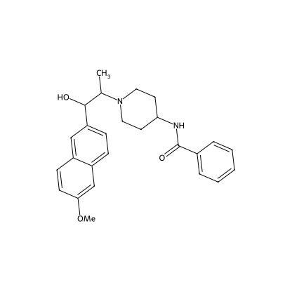 COc1ccc2cc(C(O)C(C)N3CCC(NC(=O)c4ccccc4)CC3)ccc2c1